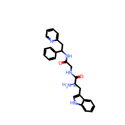 N[C@H](Cc1c[nH]c2ccccc12)C(=O)NCC(=O)NC(Cc1ccccn1)c1ccccc1